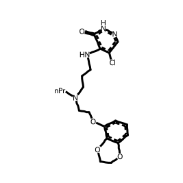 CCCN(CCCNc1c(Cl)cn[nH]c1=O)CCOc1cccc2c1OCCO2